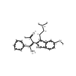 COc1ccc2[nH]c(C(C(C)=O)=C(N)c3ccccc3)c(CCN(C)C)c2c1